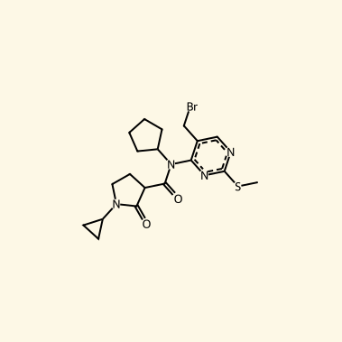 CSc1ncc(CBr)c(N(C(=O)C2CCN(C3CC3)C2=O)C2CCCC2)n1